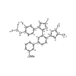 CSc1cccc(-c2ccc(-n3cc(Cl)c(C(F)(F)F)n3)c(-c3oc(C)nc3-c3ccc(OC(F)F)c(F)c3)c2)c1